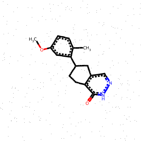 COc1ccc(C)c(C2CCc3c(cn[nH]c3=O)C2)c1